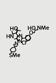 CNC[C@@H](O)COc1ccc(Cl)c(-c2nc(/C(C(C)=N)=C(\C)O)c(C)c(N3CC4(CCC(SC)CC4)C3)n2)c1